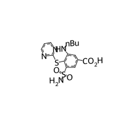 CCCCNc1cc(C(=O)O)cc(S(N)(=O)=O)c1Sc1ncccn1